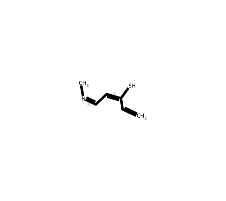 C=C/C(S)=C\C=N/C